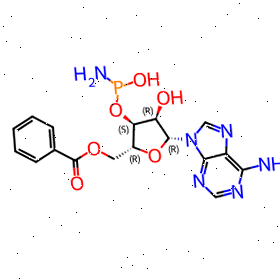 Nc1ncnc2c1ncn2[C@@H]1O[C@H](COC(=O)c2ccccc2)[C@@H](OP(N)O)[C@H]1O